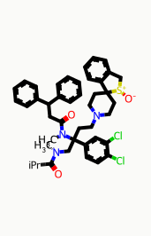 CC(C)C(=O)N(C)CC(CCN1CCC2(CC1)c1ccccc1C[S+]2[O-])(c1ccc(Cl)c(Cl)c1)N(C)C(=O)CC(c1ccccc1)c1ccccc1